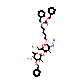 CC(=O)OCC1O[C@H](OCCCCCN(Cc2ccccc2)C(=O)OCc2ccccc2)C(N=[N+]=[N-])[C@@H](C)[C@@H]1O[C@@H]1OC(C)[C@@H](O)C(OCc2ccccc2)[C@@H]1C